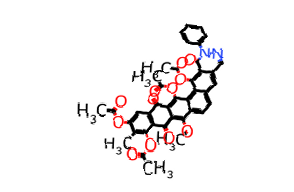 COc1c2c(c(OC(C)=O)c3c1ccc1cc4cnn(-c5ccccc5)c(=O)c4c(OC(C)=O)c13)C(=O)c1cc(OC(C)=O)c(C)c(OC(C)=O)c1C2=O